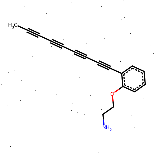 CC#CC#CC#CC#Cc1ccccc1OCCN